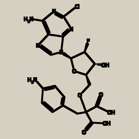 Nc1ccc(CC(OC[C@H]2O[C@@H](n3cnc4c(N)nc(Cl)nc43)[C@@H](F)[C@@H]2O)(C(=O)O)C(=O)O)cc1